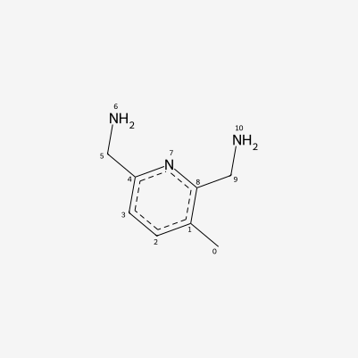 Cc1ccc(CN)nc1CN